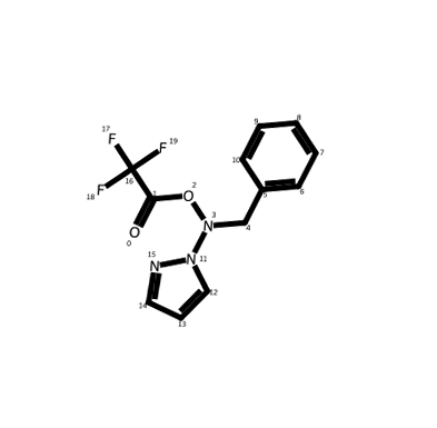 O=C(ON(Cc1ccccc1)n1cccn1)C(F)(F)F